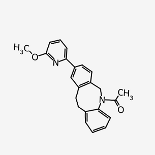 COc1cccc(-c2ccc3c(c2)CCc2ccccc2N(C(C)=O)C3)n1